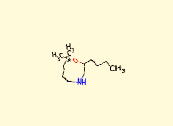 CCCCC1CNCCC[Si](C)(C)O1